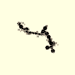 Cc1ncsc1-c1ccc([C@H](C)NC(=O)[C@@H]2CCCN2C(=O)C(NC(=O)COCCOCC(=O)NCCN(C)CC2(C)CCC(c3ccc(Cl)cc3)=C(CN3CCN(c4ccc(C(=O)NS(=O)(=O)c5ccc(N[C@H](CCN6CCOCC6)CSc6ccccc6)c(S(=O)(=O)C(F)(F)F)c5)cc4)CC3)C2)C(C)(C)C)cc1